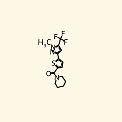 Cn1nc(-c2ccc(C(=O)N3CCCCC3)s2)cc1C(F)(F)F